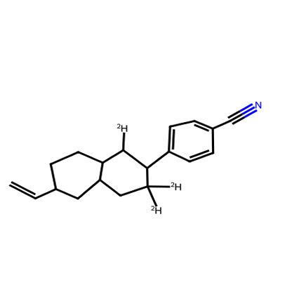 [2H]C1C2CCC(C=C)CC2CC([2H])([2H])C1c1ccc(C#N)cc1